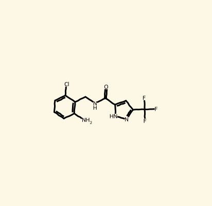 Nc1cccc(Cl)c1CNC(=O)c1cc(C(F)(F)F)n[nH]1